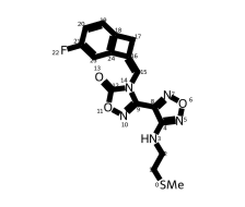 CSCCNc1nonc1-c1noc(=O)n1/C=C1/Cc2ccc(F)cc21